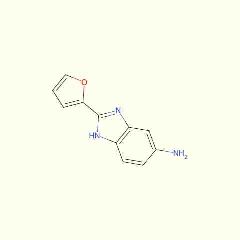 Nc1ccc2[nH]c(-c3ccco3)nc2c1